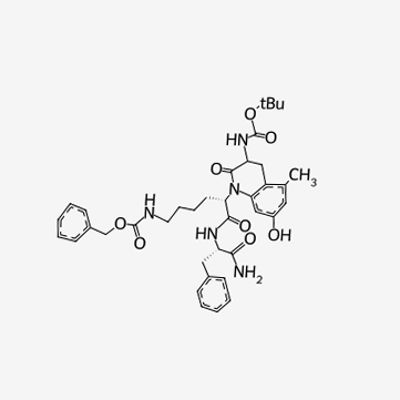 Cc1cc(O)cc2c1CC(NC(=O)OC(C)(C)C)C(=O)N2[C@@H](CCCCNC(=O)OCc1ccccc1)C(=O)N[C@@H](Cc1ccccc1)C(N)=O